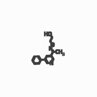 CC(=NOCCO)c1cncc(-c2ccccc2)c1